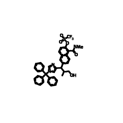 CNC(=O)c1c(OS(=O)(=O)C(F)(F)F)ccc2cc(C(c3cn(C(c4ccccc4)(c4ccccc4)c4ccccc4)cn3)C(C)CO)ccc12